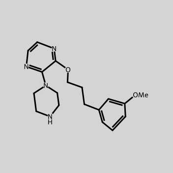 COc1cccc(CCCOc2nccnc2N2CCNCC2)c1